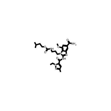 CCn1nc(C)cc1C(=O)Nc1nc2cc(C(N)=O)cc(OC)c2n1CCCNC(=O)OCCC(C)C